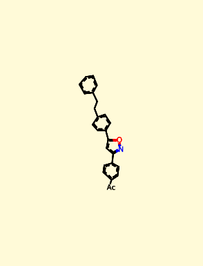 CC(=O)c1ccc(-c2cc(-c3ccc(CCc4ccccc4)cc3)on2)cc1